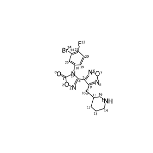 O=c1onc(-c2nonc2SC2CCCNC2)n1-c1ccc(F)c(Br)c1